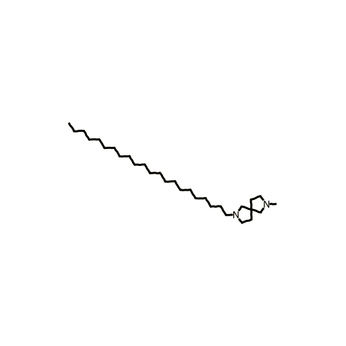 CCCCCCCCCCCCCCCCCCCCCCN1CCC2(CCN(C)C2)C1